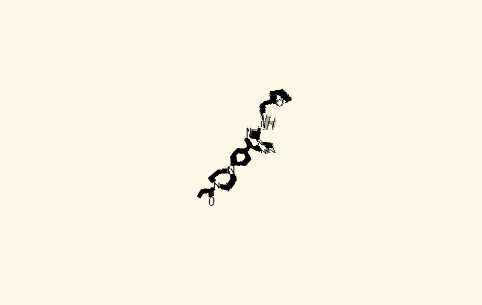 CCC(=O)N1CCN(c2ccc(-c3cnc(NCc4ccco4)n4cnnc34)cc2)CC1